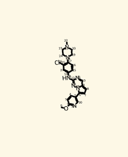 COc1ccc(-c2ccc3cnc(Nc4ccc(N5CCN(C)CC5)c(Cl)c4)nn23)cn1